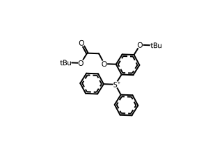 CC(C)(C)OC(=O)COc1cc(OC(C)(C)C)ccc1[S+](c1ccccc1)c1ccccc1